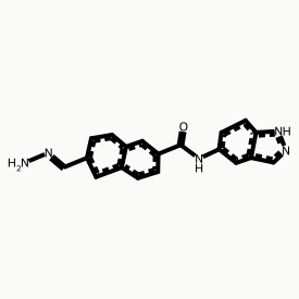 NN=Cc1ccc2cc(C(=O)Nc3ccc4[nH]ncc4c3)ccc2c1